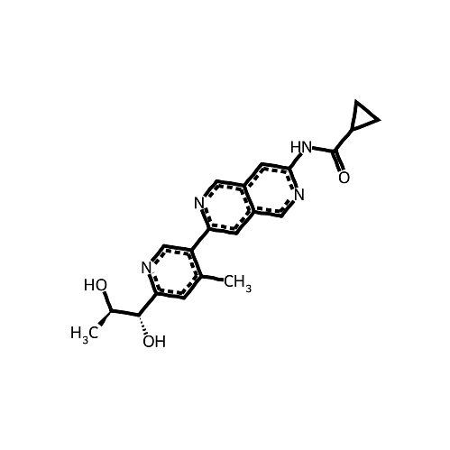 Cc1cc([C@H](O)[C@@H](C)O)ncc1-c1cc2cnc(NC(=O)C3CC3)cc2cn1